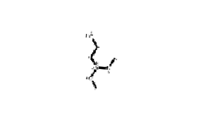 CO[SiH](CCO)OC